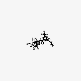 CCOc1nn2c(=N)n(CC(=O)c3cc(OCCCF)cc(C(C)(C)C)c3)nc2c(C)c1C